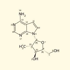 C[C@H]1[C@H](O)[C@@H](CO)O[C@H]1n1ccc2c(N)ncnc21